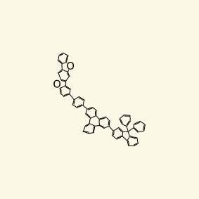 c1ccc(C2(c3ccccc3)c3ccccc3-c3ccc(-c4ccc5c6ccc(-c7ccc(-c8ccc9oc%10cc%11c(cc%10c9c8)oc8ccccc8%11)cc7)cc6c6ccccc6c5c4)cc32)cc1